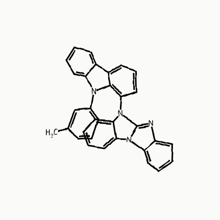 Cc1cccc(-n2c3ccccc3c3cccc(-n4c5ccccc5n5c6ccccc6nc45)c32)c1